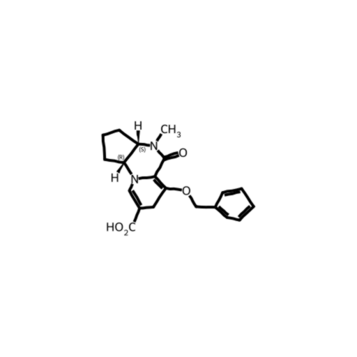 CN1C(=O)C2=C(OCc3ccccc3)CC(C(=O)O)=CN2[C@@H]2CCC[C@@H]21